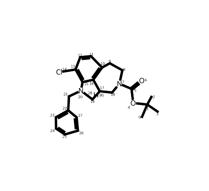 CC(C)(C)OC(=O)N1CCc2ccc(Cl)c3c2[C@@H](C1)CN3Cc1ccccc1